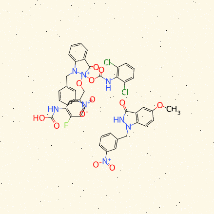 COc1ccc2c(c1)c(=O)[nH]n2Cc1cccc([N+](=O)[O-])c1.O=C(O)Nc1cc(CO[N+]2(OC(=O)Nc3c(Cl)cccc3Cl)C(=O)c3ccccc3N2Cc2cccc([N+](=O)[O-])c2)ccc1F